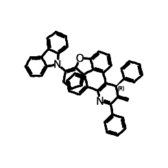 C=C1C(c2ccccc2)=NC(c2ccccc2)=C(c2cccc3oc4c(c23)=CCCC=4n2c3ccccc3c3ccccc32)[C@H]1c1ccccc1